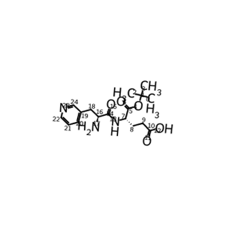 CC(C)(C)OC(=O)[C@H](CCC(=O)O)NC(=O)[C@@H](N)Cc1cccnc1